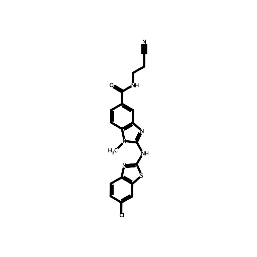 Cn1c(Nc2nc3ccc(Cl)cc3s2)nc2cc(C(=O)NCCC#N)ccc21